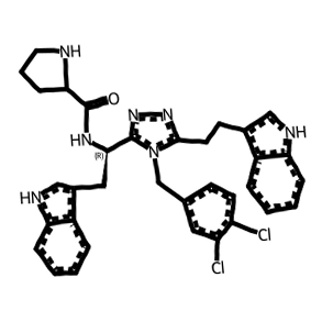 O=C(N[C@H](Cc1c[nH]c2ccccc12)c1nnc(CCc2c[nH]c3ccccc23)n1Cc1ccc(Cl)c(Cl)c1)C1CCCN1